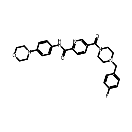 O=C(Nc1ccc(N2CCOCC2)cc1)c1ccc(C(=O)N2CCN(Cc3ccc(F)cc3)CC2)cn1